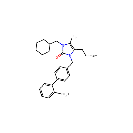 CC(C)CCc1c(C(F)(F)F)n(CC2CCCCC2)c(=O)n1Cc1ccc(-c2ccccc2C(=O)O)cc1